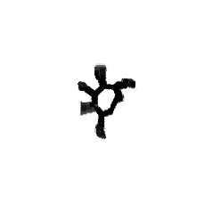 O=C1CCC(=O)C(=O)C(=O)N1